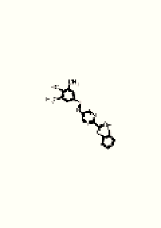 Cc1cc(/N=N/c2cnc(C(=O)Oc3ccccc3F)nc2)cc(C)c1O